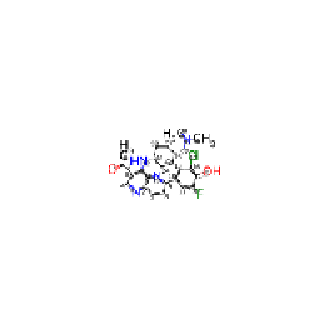 CC(=O)c1cnc2ccc(-c3cc(F)c(O)c(Cl)c3)nc2c1N[C@H]1CC[C@@H](CN(C)C)CC1